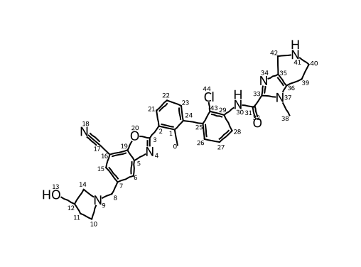 Cc1c(-c2nc3cc(CN4CCC(O)C4)cc(C#N)c3o2)cccc1-c1cccc(NC(=O)c2nc3c(n2C)CCNC3)c1Cl